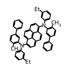 CCc1cccc(N(c2cc(-c3ccccc3)ccc2C)c2ccc3ccc4c(N(c5cccc(CC)c5)c5cc(-c6ccccc6)ccc5C)ccc5ccc2c3c54)c1